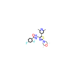 Cc1cc(-c2sc(N3C[C@@H](C)O[C@@H](C)C3)nc2CNC(=O)c2ccc(F)cc2F)cc(C)n1